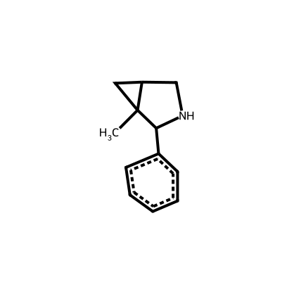 CC12CC1CNC2c1ccccc1